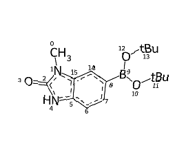 Cn1c(=O)[nH]c2ccc(B(OC(C)(C)C)OC(C)(C)C)cc21